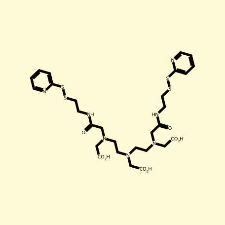 O=C(O)CN(CCN(CC(=O)O)CC(=O)NCCSSc1ccccn1)CCN(CC(=O)O)CC(=O)NCCSSc1ccccn1